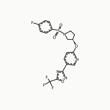 O=S(=O)(c1ccc(F)cc1)N1CC[C@@H](Oc2ccc(-c3noc(C(F)(F)F)n3)cn2)C1